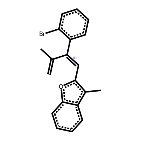 C=C(C)/C(=C\c1oc2ccccc2c1C)c1ccccc1Br